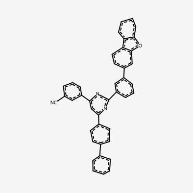 N#Cc1cccc(-c2cc(-c3ccc(-c4ccccc4)cc3)nc(-c3cccc(-c4ccc5c(c4)oc4ccccc45)c3)n2)c1